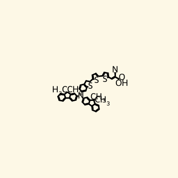 CC1(C)c2ccccc2-c2ccc(N(c3ccc4c(c3)SC(c3ccc(-c5ccc(/C=C(\C#N)C(=O)O)s5)s3)C4)c3ccc4c(c3)C(C)(C)c3ccccc3-4)cc21